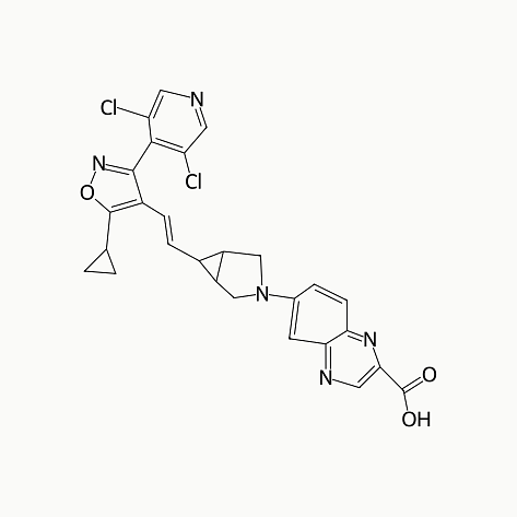 O=C(O)c1cnc2cc(N3CC4C(C=Cc5c(-c6c(Cl)cncc6Cl)noc5C5CC5)C4C3)ccc2n1